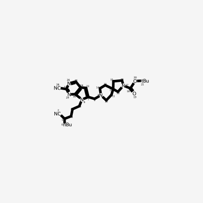 CCCCC(C#N)CCCn1c(CN2CCC3(CC2)CCN(C(=O)OC(C)(C)C)C3)cc2cnc(C#N)nc21